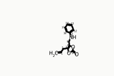 C=CCc1oc(=O)oc1CNc1cc[c]cc1